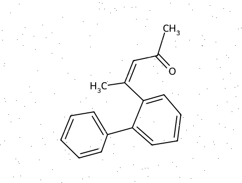 CC(=O)/C=C(/C)c1ccccc1-c1ccccc1